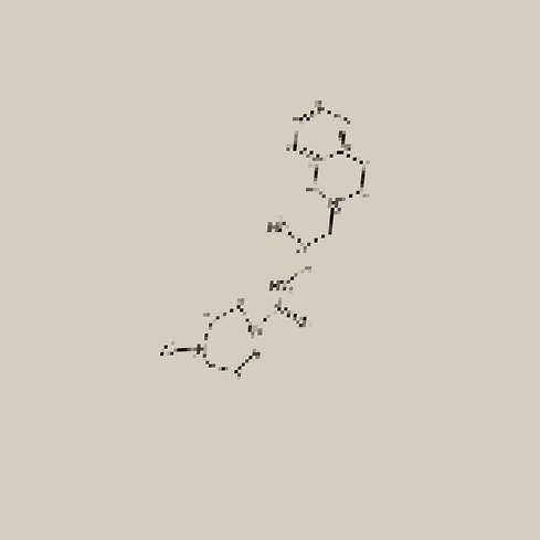 CC(=O)N1CCCN(C(=O)NCC(O)CN2CCc3ccccc3C2)CC1